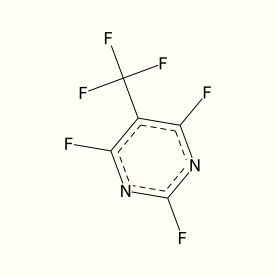 Fc1nc(F)c(C(F)(F)F)c(F)n1